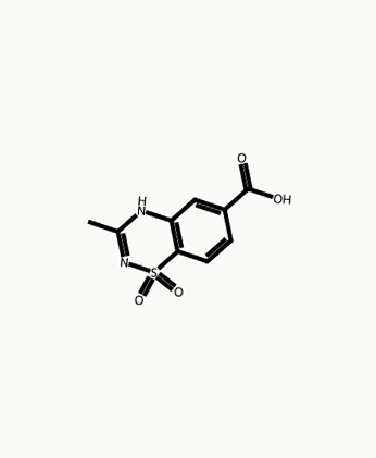 CC1=NS(=O)(=O)c2ccc(C(=O)O)cc2N1